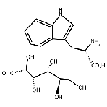 N[C@@H](Cc1c[nH]c2ccccc12)C(=O)O.O=C[C@H](O)[C@@H](O)[C@H](O)[C@H](O)CO